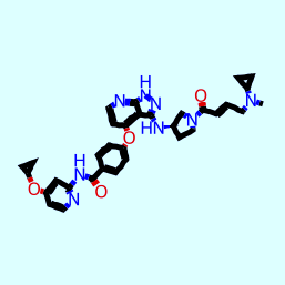 CN(C/C=C/C(=O)N1CC[C@@H](Nc2n[nH]c3nccc(Oc4ccc(C(=O)Nc5cc(OC6CC6)ccn5)cc4)c23)C1)C1CC1